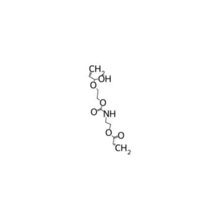 C=CC(=O)OCCNC(=O)OCCOC(O)C=C